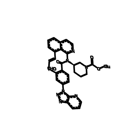 CC(C)(C)OC(=O)N1CCC[C@@H](N(C(=O)c2ccc(-n3nnc4cccnc43)cc2F)c2nccc3cccc(/C=C/C=O)c23)C1